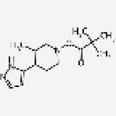 CC1CN(OC(=O)C(C)(C)C)CCC1c1ccn[nH]1